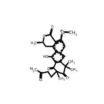 COc1cc2cc3c(c(O)c2c2c1C(=O)OC(C)C2)C(=O)C(C)(CCC(C)=O)C(=O)C3(C)C